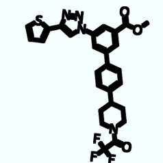 COC(=O)c1cc(-c2ccc(C3CCN(C(=O)C(F)(F)F)CC3)cc2)cc(-n2cc(-c3cccs3)nn2)c1